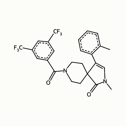 Cc1ccccc1C1=CN(C)C(=O)C12CCN(C(=O)c1cc(C(F)(F)F)cc(C(F)(F)F)c1)CC2